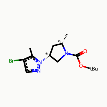 Cc1c(Br)cnn1[C@@H]1C[C@H](C)N(C(=O)OC(C)(C)C)C1